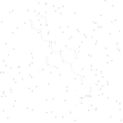 CN1CC(COc2cccc3c(NCc4ccccc4)cc(Cl)nc23)OC1=O